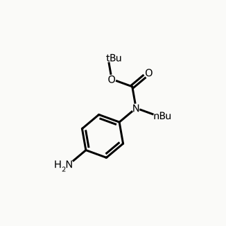 CCCCN(C(=O)OC(C)(C)C)c1ccc(N)cc1